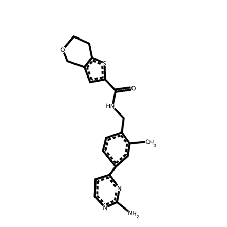 Cc1cc(-c2ccnc(N)n2)ccc1CNC(=O)c1cc2c(s1)CCOC2